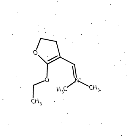 CCOC1=C(C=[N+](C)C)CCO1